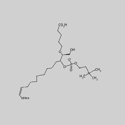 CCCCCC/C=C\CCCCCCCCC(OP(=O)([O-])OCC[N+](C)(C)C)[C@H](CO)OCCCCC(=O)O